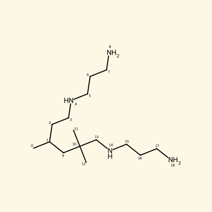 CC(CCNCCCN)CC(C)(C)CNCCCN